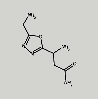 NCc1nnc(C(N)CC(N)=O)o1